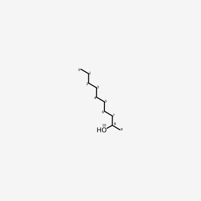 CCCCCCCCC(C)O